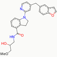 COCC(O)CNC(=O)c1cccc2c1CCN2c1cc(Cc2ccc3occc3c2)ccn1